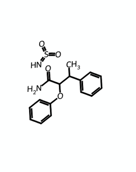 CC(c1ccccc1)C(Oc1ccccc1)C(N)=O.N=S(=O)=O